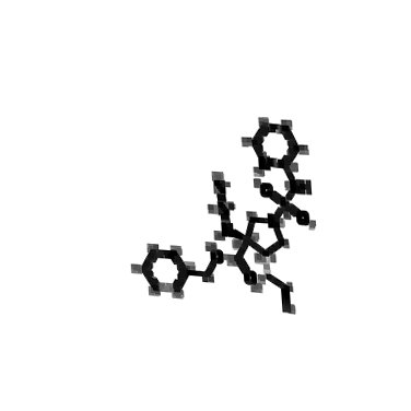 C=CC[C@H]1CN(S(=O)(=O)Nc2ccccn2)C[C@@]1(N=[N+]=[N-])C(=O)OCc1ccccc1